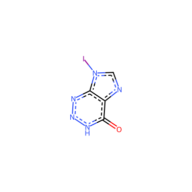 O=c1[nH]nnc2c1ncn2I